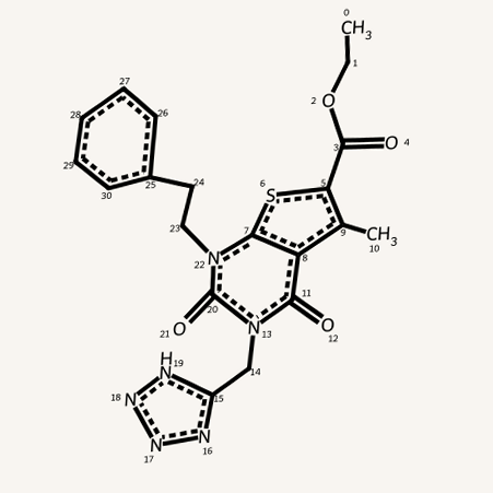 CCOC(=O)c1sc2c(c1C)c(=O)n(Cc1nnn[nH]1)c(=O)n2CCc1ccccc1